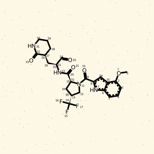 COc1cccc2[nH]c(C(=O)N3C[C@H](C(F)(F)F)C[C@H]3C(=O)N[C@H](C=O)C[C@@H]3CCCNC3=O)cc12